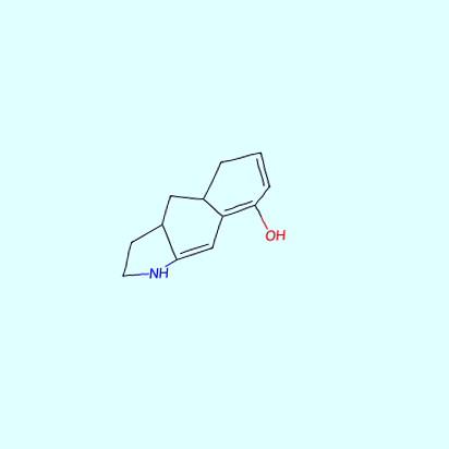 OC1=C2C=C3NCCC3CC2CC=C1